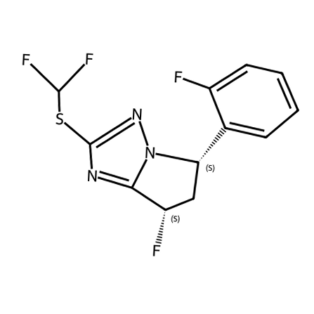 Fc1ccccc1[C@@H]1C[C@H](F)c2nc(SC(F)F)nn21